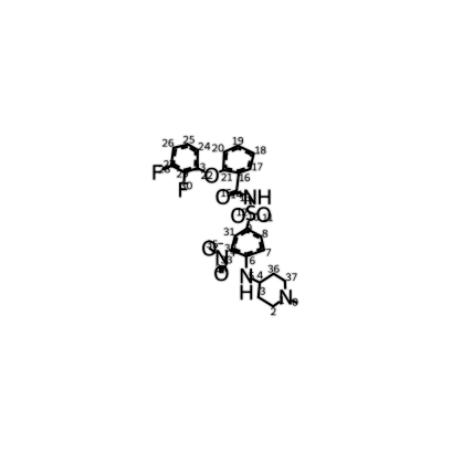 CN1CCC(Nc2ccc(S(=O)(=O)NC(=O)c3ccccc3Oc3cccc(F)c3F)cc2[N+](=O)[O-])CC1